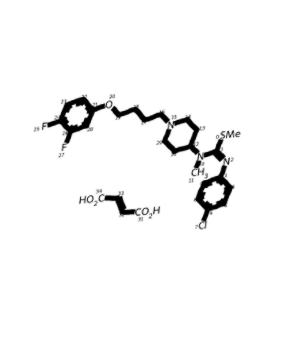 CSC(=Nc1ccc(Cl)cc1)N(C)C1CCN(CCCCOc2ccc(F)c(F)c2)CC1.O=C(O)/C=C/C(=O)O